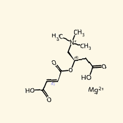 C[N+](C)(C)C[C@@H](CC(=O)O)OC(=O)/C=C/C(=O)O.[Mg+2]